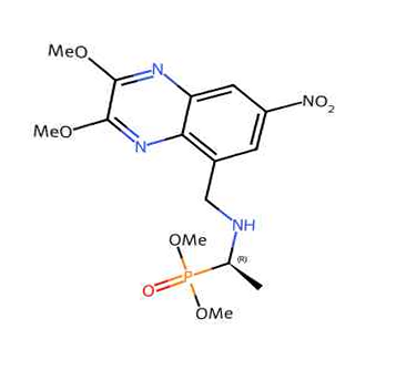 COc1nc2cc([N+](=O)[O-])cc(CN[C@@H](C)P(=O)(OC)OC)c2nc1OC